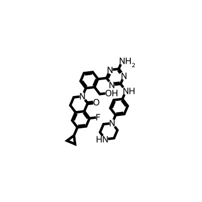 Nc1nc(Nc2ccc(N3CCNCC3)cc2)nc(-c2cccc(N3CCc4cc(C5CC5)cc(F)c4C3=O)c2CO)n1